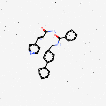 NC(=O)/C=C/c1ccncc1.O=C(NCc1ccc(-c2ccccc2)cc1)c1ccccc1